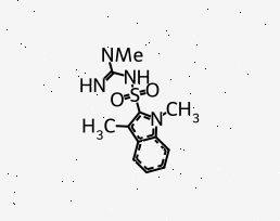 CNC(=N)NS(=O)(=O)c1c(C)c2ccccc2n1C